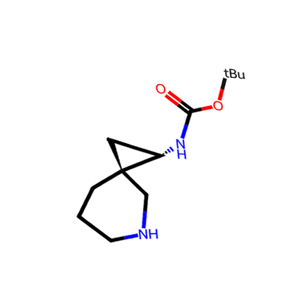 CC(C)(C)OC(=O)N[C@H]1C[C@@]12CCCNC2